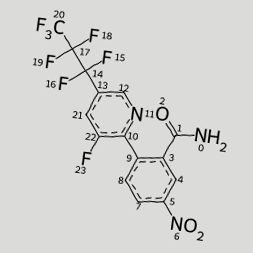 NC(=O)c1cc([N+](=O)[O-])ccc1-c1ncc(C(F)(F)C(F)(F)C(F)(F)F)cc1F